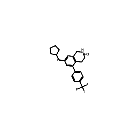 Cl.FC(F)(F)c1ccc(-c2cc(NC3CCCC3)cc3c2CCNC3)cc1